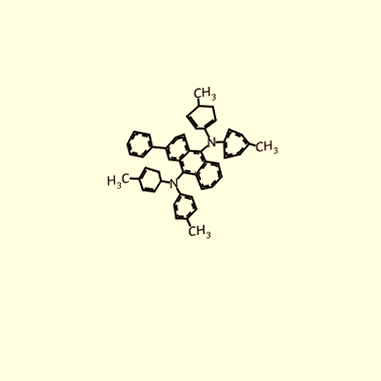 CC1=CCC(N(c2ccc(C)cc2)c2c3ccccc3c(N(C3=CCC(C)C=C3)c3ccc(C)cc3)c3ccc(-c4ccccc4)cc23)C=C1